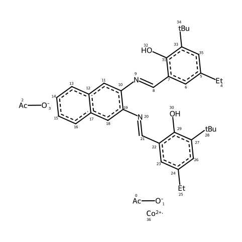 CC(=O)[O-].CC(=O)[O-].CCc1cc(C=Nc2cc3ccccc3cc2N=Cc2cc(CC)cc(C(C)(C)C)c2O)c(O)c(C(C)(C)C)c1.[Co+2]